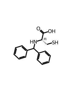 O=C(O)[C@H](CS)NC(c1ccccc1)c1ccccc1